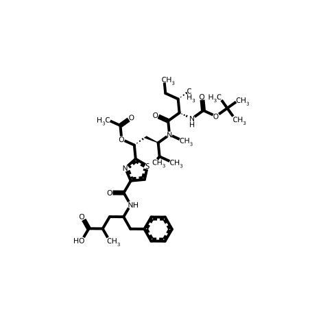 CC[C@H](C)[C@H](NC(=O)OC(C)(C)C)C(=O)N(C)[C@H](C[C@@H](OC(C)=O)c1nc(C(=O)NC(Cc2ccccc2)CC(C)C(=O)O)cs1)C(C)C